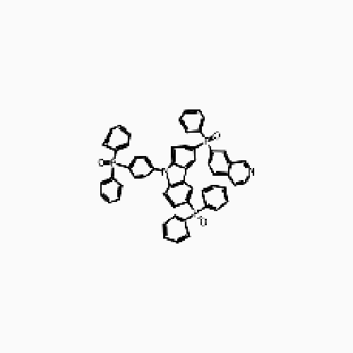 O=P(c1ccccc1)(c1ccccc1)c1ccc(-n2c3ccc(P(=O)(c4ccccc4)c4ccccc4)cc3c3cc(P(=O)(c4ccccc4)c4ccc5ccncc5c4)ccc32)cc1